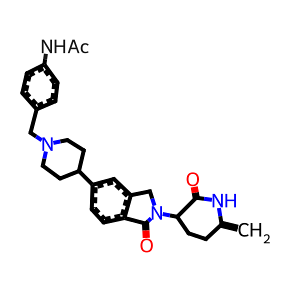 C=C1CCC(N2Cc3cc(C4CCN(Cc5ccc(NC(C)=O)cc5)CC4)ccc3C2=O)C(=O)N1